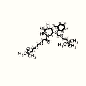 C[Si](C)(C)CCOCOCC(=O)N1C[C@@H](OCOCC[Si](C)(C)C)[C@@H](Cc2ccccc2)NC(=O)N1